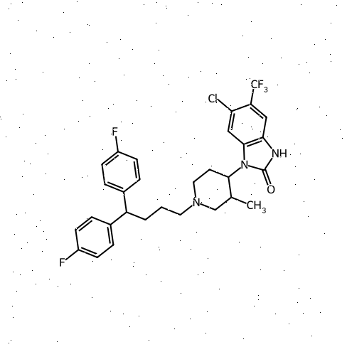 CC1CN(CCCC(c2ccc(F)cc2)c2ccc(F)cc2)CCC1n1c(=O)[nH]c2cc(C(F)(F)F)c(Cl)cc21